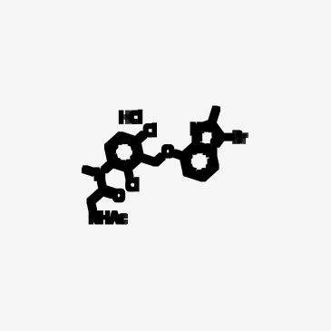 CC(=O)NCC(=O)N(C)c1ccc(Cl)c(COc2cccn3c(Br)c(C)nc23)c1Cl.Cl